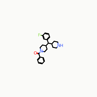 O=C(c1ccccc1)N1CCC(C(c2cccc(F)c2)C2CCNCC2)CC1